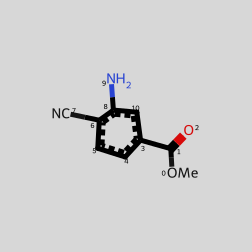 COC(=O)c1ccc(C#N)c(N)c1